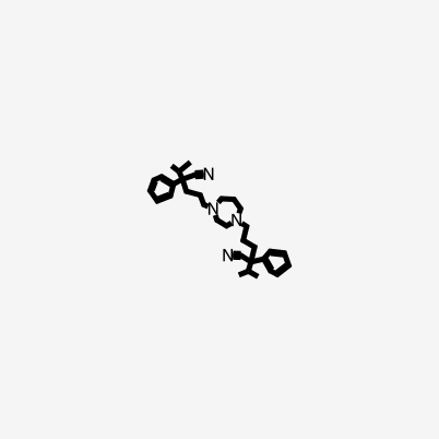 CC(C)C(C#N)(CCCN1CCCN(CCCC(C#N)(c2ccccc2)C(C)C)CC1)c1ccccc1